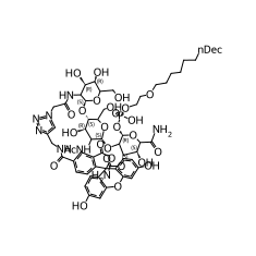 CCCCCCCCCCCCCCCCOCCOP(=O)(O)O[C@H]1OC(C(N)=O)[C@@H](O)[C@H](OC(N)=O)C1O[C@@H]1OC(CO)[C@@H](O[C@@H]2OC(CO)[C@H](O)[C@H](O)C2NC(=O)Cn2cc(CNC(=O)c3ccc4c(c3)C(=O)OC43c4ccc(O)cc4Oc4cc(O)ccc43)nn2)[C@H](O)C1NC(C)=O